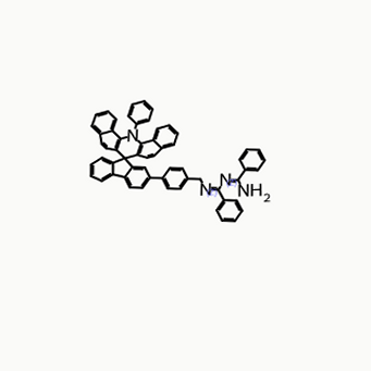 N/C(=N\C(=N/Cc1ccc(-c2ccc3c(c2)C2(c4ccccc4-3)c3ccc4ccccc4c3N(c3ccccc3)c3c2ccc2ccccc32)cc1)c1ccccc1)c1ccccc1